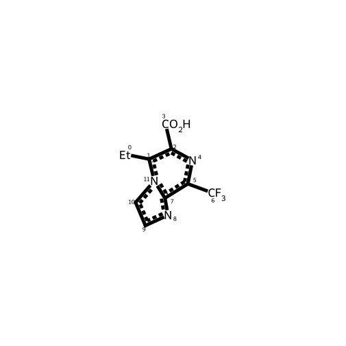 CCc1c(C(=O)O)nc(C(F)(F)F)c2nccn12